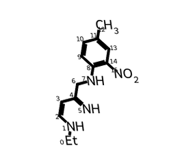 CCN/C=C\C(=N)CNc1ccc(C)cc1[N+](=O)[O-]